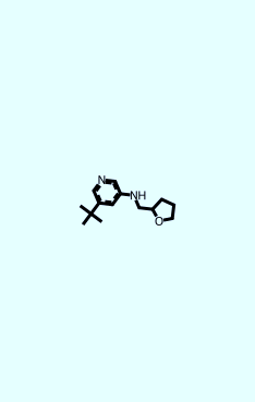 CC(C)(C)c1cncc(NCC2CCCO2)c1